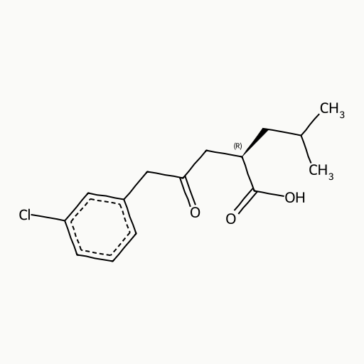 CC(C)C[C@H](CC(=O)Cc1cccc(Cl)c1)C(=O)O